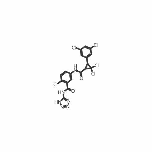 O=C(Nc1nnn[nH]1)c1cc(NC(=O)C2C(c3cc(Cl)cc(Cl)c3)C2(Cl)Cl)ccc1Cl